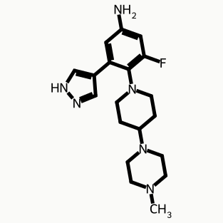 CN1CCN(C2CCN(c3c(F)cc(N)cc3-c3cn[nH]c3)CC2)CC1